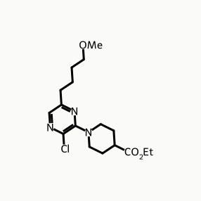 CCOC(=O)C1CCN(c2nc(CCCCOC)cnc2Cl)CC1